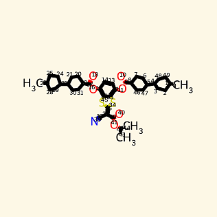 CC1CCC(C2CCC(C(=O)Oc3ccc(OC(=O)C4CCC(C5CCC(C)CC5)CC4)c4c3SC(=C(C#N)C(=O)OC(C)C)S4)CC2)CC1